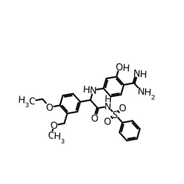 CCOc1ccc(C(Nc2ccc(C(=N)N)c(O)c2)C(=O)NS(=O)(=O)c2ccccc2)cc1COC